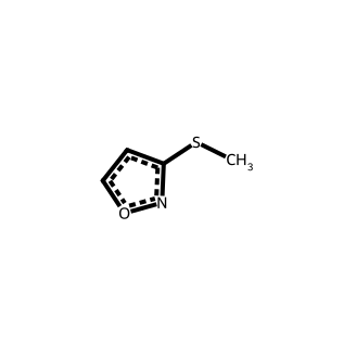 CSc1ccon1